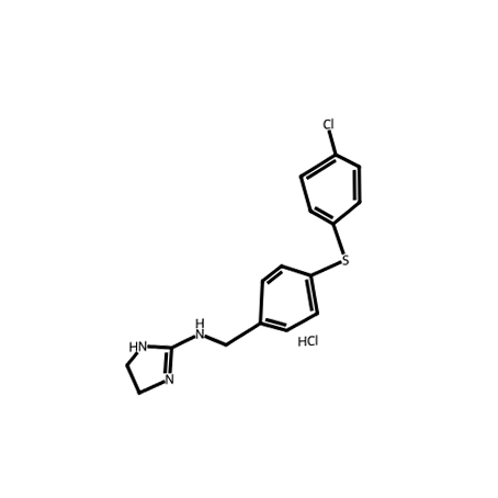 Cl.Clc1ccc(Sc2ccc(CNC3=NCCN3)cc2)cc1